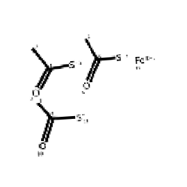 CC(=O)[S-].CC(=O)[S-].CC(=O)[S-].[Fe+3]